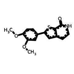 COc1ccc(-c2cc3cc[nH]c(=O)c3s2)cc1OC